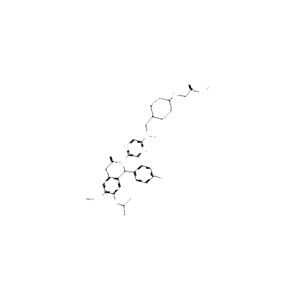 COC(=O)CNC1CCC(CN(C)c2cnc(N3C(=O)Cc4cc(OC)c(OC(C)C)cc4C3c3ccc(Cl)cc3)cn2)CC1